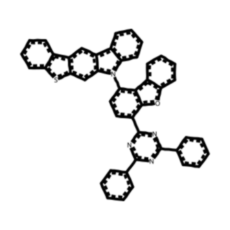 c1ccc(-c2nc(-c3ccccc3)nc(-c3ccc(-n4c5ccccc5c5cc6c(cc54)sc4ccccc46)c4c3oc3ccccc34)n2)cc1